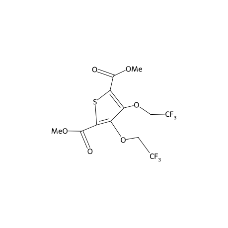 COC(=O)c1sc(C(=O)OC)c(OCC(F)(F)F)c1OCC(F)(F)F